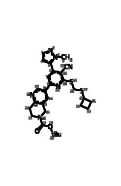 Cn1nccc1-c1cc(-c2cnc3c(c2)CN(C(=O)OC(C)(C)C)CC3)nc(SCSC2CCC2)c1C#N